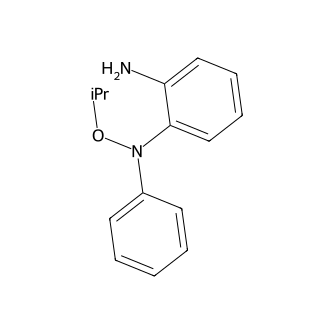 CC(C)ON(c1ccccc1)c1ccccc1N